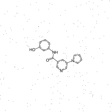 O=C(Nc1cccc(O)c1)c1cncc(-n2cccc2)c1